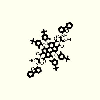 Cc1cc(C(C)(C)C)ccc1Oc1cc2c3c(cc(Oc4ccc(C(C)(C)C)cc4C)c4c5c(Oc6ccc(C(C)(C)C)cc6C)cc6c7c(cc(Oc8ccc(C(C)(C)C)cc8C)c(c1c34)c75)C(=O)N(C(CO)C(=O)Nc1cccc3c1oc1ccccc13)C6=O)C(=O)N(C(CO)C(=O)Nc1cccc3c1oc1ccccc13)C2=O